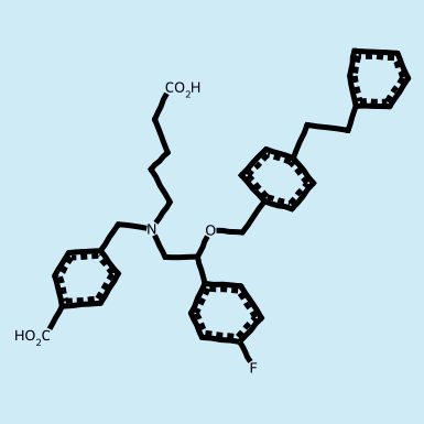 O=C(O)CCCCN(Cc1ccc(C(=O)O)cc1)CC(OCc1ccc(CCc2ccccc2)cc1)c1ccc(F)cc1